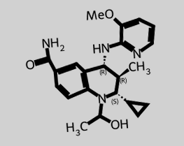 COc1cccnc1N[C@H]1c2cc(C(N)=O)ccc2N(C(C)O)[C@@H](C2CC2)[C@@H]1C